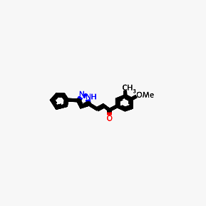 COc1ccc(C(=O)/C=C/c2cc(-c3ccccc3)n[nH]2)cc1C